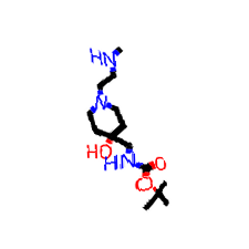 CNCCN1CCC(O)(CNC(=O)OC(C)(C)C)CC1